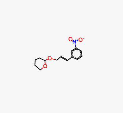 O=[N+]([O-])c1cccc(/C=C/COC2CCCCO2)c1